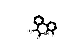 NC1C(=O)Nc2c(Cl)cccc2-c2ccccc21